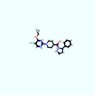 N#CCOc1nc(N2CCC(C(=O)N3N=CCC3c3ccccc3)CC2)ncc1F